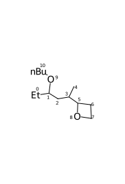 [CH2]CC(CC(C)C1CCO1)OCCCC